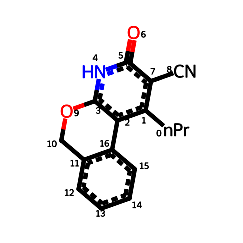 CCCc1c2c([nH]c(=O)c1C#N)OCc1ccccc1-2